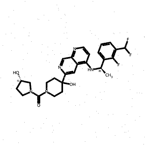 C[C@@H](Nc1ccnc2cnc(C3(O)CCN(C(=O)N4CC[C@H](O)C4)CC3)cc12)c1cccc(C(F)F)c1F